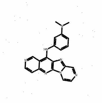 CN(C)c1cccc(Nc2c3cnccc3nc3c2nc2cnccn23)c1